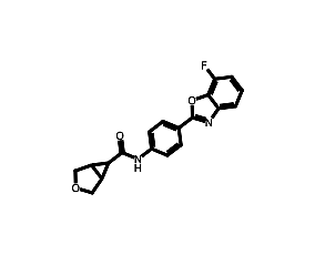 O=C(Nc1ccc(-c2nc3cccc(F)c3o2)cc1)C1C2COCC21